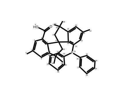 Cc1cc(C(=O)O)c2c(c1)C(C)(C)CC21CC(C)(C)c2cc(C)cc(P(c3ccccc3)c3ccccc3)c21